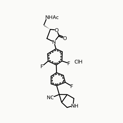 CC(=O)NC[C@H]1CN(c2cc(F)c(-c3ccc(C4(C#N)C5CNCC54)c(F)c3)c(F)c2)C(=O)O1.Cl